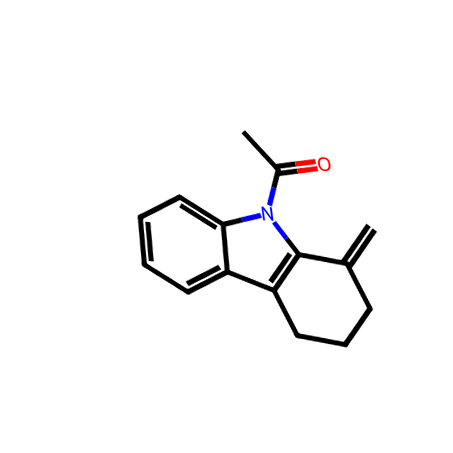 C=C1CCCc2c1n(C(C)=O)c1ccccc21